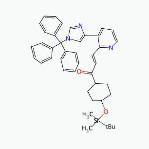 CC(C)(C)[Si](C)(C)OC1CCC(C(=O)/C=C/c2ncccc2-c2cn(C(c3ccccc3)(c3ccccc3)c3ccccc3)cn2)CC1